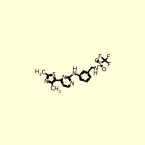 Cc1nc(C)c(-c2ccnc(Nc3cccc(CNS(=O)(=O)C(F)(F)F)c3)n2)s1